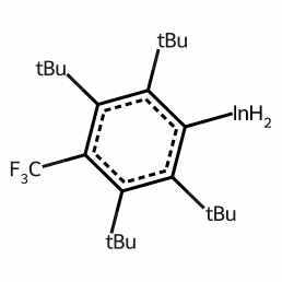 CC(C)(C)c1[c]([InH2])c(C(C)(C)C)c(C(C)(C)C)c(C(F)(F)F)c1C(C)(C)C